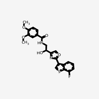 COc1ccc(C(=O)NCC(O)c2coc(-c3csc4c(F)cccc34)n2)cc1OC